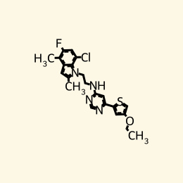 CCOc1csc(-c2cc(NCCn3c(C)cc4c(C)c(F)cc(Cl)c43)ncn2)c1